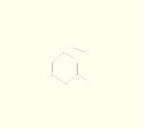 CCC1CNCCO1.O=[N+]([O-])O